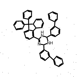 C1=CC2c3c(C4=NC(c5cccc(-c6ccccc6)c5)NC(c5cccc(-c6ccccc6)c5)N4)cccc3C(c3ccccc3)(c3ccccc3)C2C=C1